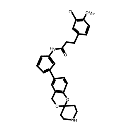 COc1ccc(CCC(=O)Nc2cccc(-c3ccc4c(c3)COC3(CCNCC3)O4)c2)cc1Cl